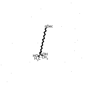 CCCCCCCCCCCCCCCCCCCCCCCCC=CN(C(C)O)C(C)O